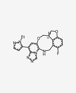 CCn1nccc1-c1cc2c(n3cnnc13)NCc1c(F)ccc3c1[C@@H](CO3)CO2